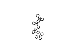 C1=CC2=C(CC1)C1(c3ccccc32)c2ccccc2-c2c1ccc1c(-c3cccc(-n4c5ccccc5c5cc6c(cc54)c4ccccc4n6-c4ccccc4)c3)nc3ccccc3c21